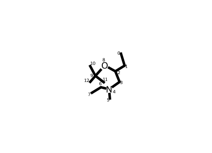 CCC(CN(C)CC)OC(C)(C)C